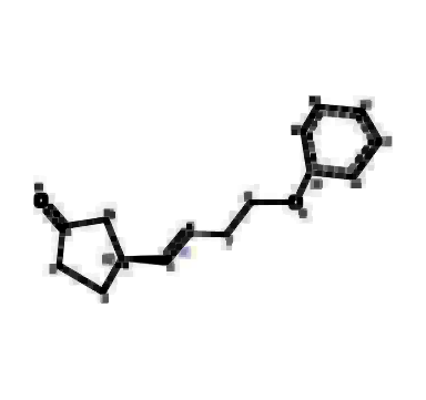 O=C1CC[C@H](/C=C/CCOc2ccccc2)C1